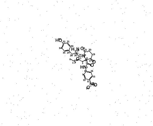 CSCC[C@]1(C(=O)Nc2ccc([N+](=O)[O-])cc2)C(=O)CCC(=O)N1C(=O)[C@@H](N)Cc1ccc(O)cc1